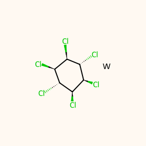 Cl[C@H]1[C@H](Cl)[C@@H](Cl)[C@@H](Cl)[C@H](Cl)[C@H]1Cl.[W]